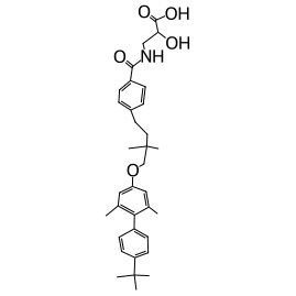 Cc1cc(OCC(C)(C)CCc2ccc(C(=O)NCC(O)C(=O)O)cc2)cc(C)c1-c1ccc(C(C)(C)C)cc1